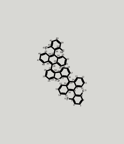 Fc1cccc(F)c1-c1c2ccccc2c(-c2cccc3c2sc2cccc(-c4c5ccccc5c(-c5c(F)cccc5F)c5ccccc45)c23)c2ccccc12